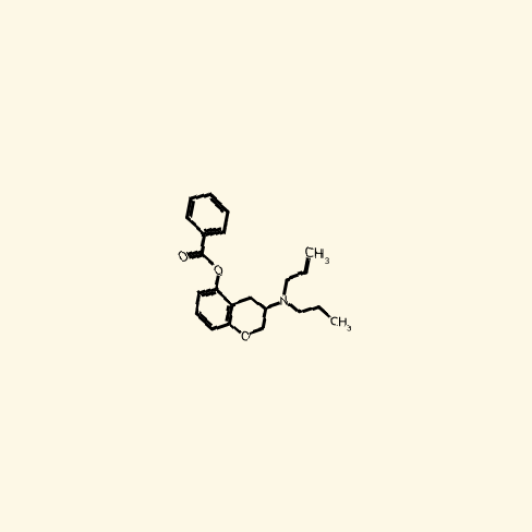 CCCN(CCC)C1COc2cccc(OC(=O)c3ccccc3)c2C1